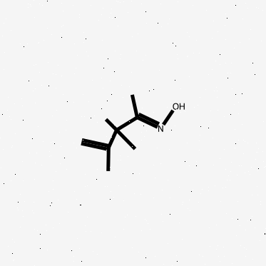 C=C(C)C(C)(C)/C(C)=N/O